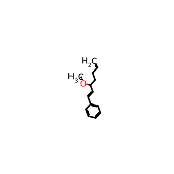 C=CCCC(C=Cc1ccccc1)OC